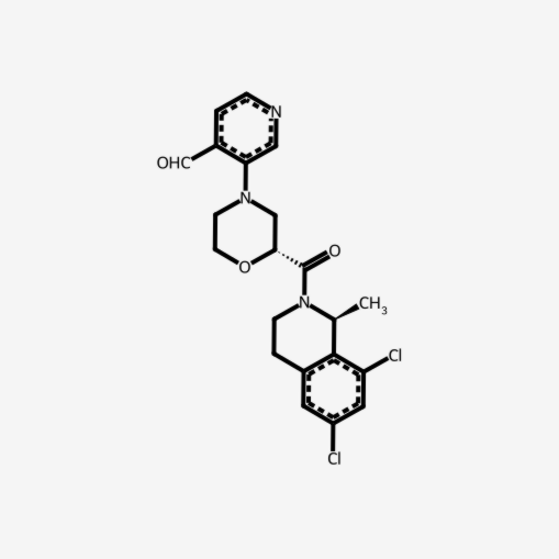 C[C@H]1c2c(Cl)cc(Cl)cc2CCN1C(=O)[C@H]1CN(c2cnccc2C=O)CCO1